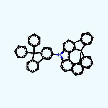 c1ccc(C2(c3ccccc3)c3ccccc3-c3cc(-n4c5ccc6c7c5c5c8c(cccc8ccc54)C7(c4ccccc4)c4ccccc4-6)ccc32)cc1